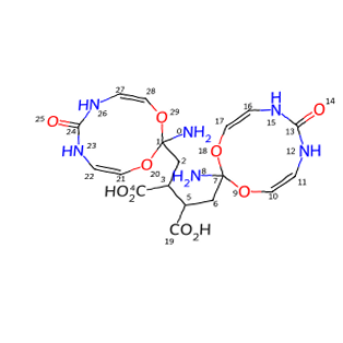 NC1(CC(C(=O)O)C(CC2(N)OC=CNC(=O)NC=CO2)C(=O)O)OC=CNC(=O)NC=CO1